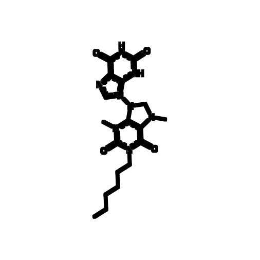 CCCCCCn1c(=O)c2c(n(C)c1=O)N(n1cnc3c(=O)[nH]c(=O)[nH]c31)CN2C